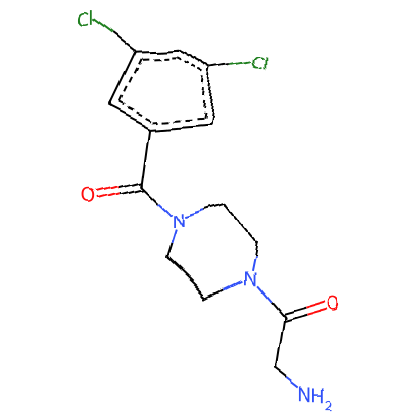 NCC(=O)N1CCN(C(=O)c2cc(Cl)cc(Cl)c2)CC1